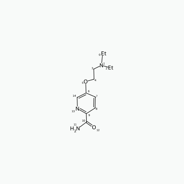 CCN(CC)CCOc1ccc(C(N)=O)nc1